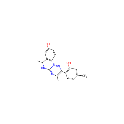 Cc1nc(NC(C)c2cccc(O)c2)nnc1-c1ccc(C(F)(F)F)cc1O